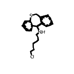 ClCCCCCNC1c2ccccc2CSc2ccccc21